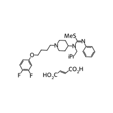 CSC(=Nc1ccccc1)N(CC(C)C)C1CCN(CCCCOc2ccc(F)c(F)c2)CC1.O=C(O)C=CC(=O)O